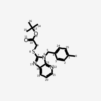 Cc1ccc(Cn2c(SCC(=O)OC(C)(C)C)nc3cccnc32)cc1